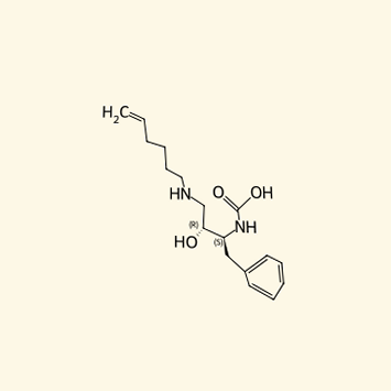 C=CCCCCNC[C@@H](O)[C@H](Cc1ccccc1)NC(=O)O